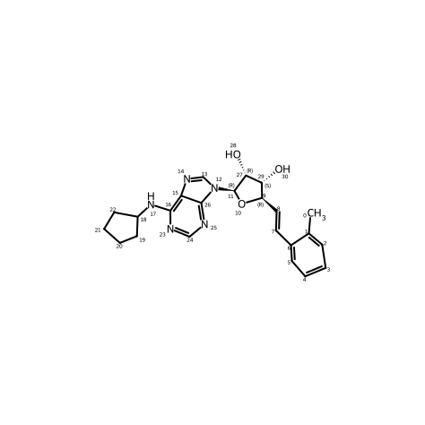 Cc1ccccc1C=C[C@H]1O[C@@H](n2cnc3c(NC4CCCC4)ncnc32)[C@H](O)[C@@H]1O